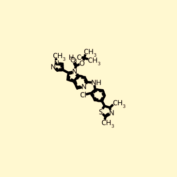 CC1=NC(C)C(c2ccc(Nc3cc4c(cn3)cc(-c3cnn(C)c3)n4C(=O)OC(C)(C)C)c(Cl)c2)S1